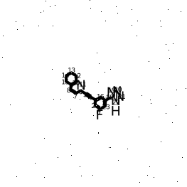 Fc1cc(C#Cc2ccc3c(n2)CCCC3)cc(-c2nnn[nH]2)c1